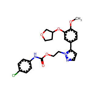 COc1ccc(-c2ccnn2CCOC(=O)Nc2ccc(Cl)cc2)cc1OC1CCOC1